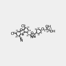 CC(C)(O)[C@@H](O)COc1ccc(-c2nnc(Cc3ccc(Cl)c(Oc4cc(Cl)cc(C#N)c4)c3F)o2)cc1